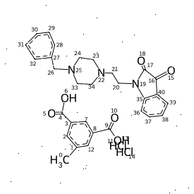 Cc1cc(C(=O)O)cc(C(=O)O)c1.Cl.Cl.O=C1C(=O)N(CCN2CCN(Cc3ccccc3)CC2)c2ccccc21